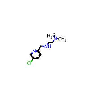 CN(C)CCNCc1ccc(Cl)cn1